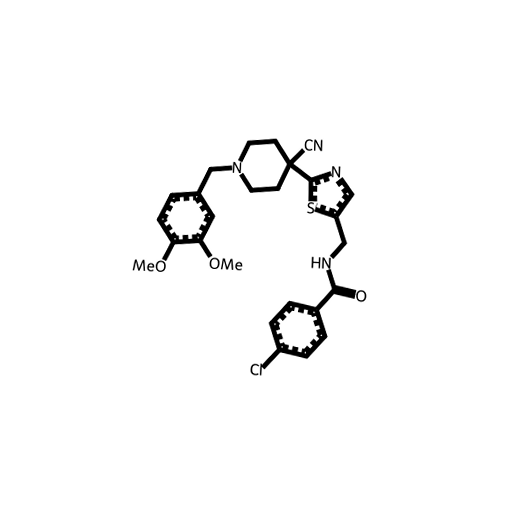 COc1ccc(CN2CCC(C#N)(c3ncc(CNC(=O)c4ccc(Cl)cc4)s3)CC2)cc1OC